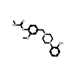 CNC(=O)Oc1ccc(CN2CCN(c3ccccc3O)CC2)cc1OC